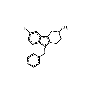 CN1CCc2c(c3cc(F)ccc3n2Cc2ccncc2)C1